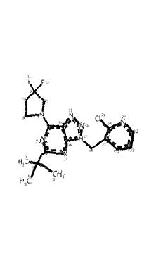 CC(C)(C)c1nc(N2CCC(F)(F)C2)c2nnn(Cc3cccnc3Cl)c2n1